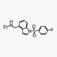 CCNCc1cccc2c1ccn2S(=O)(=O)c1ccc(F)cc1